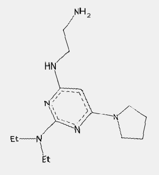 CCN(CC)c1nc(NCCN)cc(N2CCCC2)n1